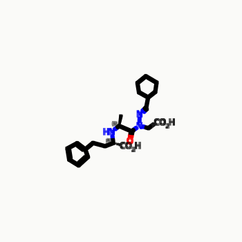 C[C@H](N[C@@H](CCc1ccccc1)C(=O)O)C(=O)N(CC(=O)O)N=CC1CCCCC1